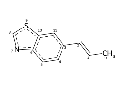 CC=Cc1ccc2ncsc2c1